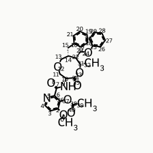 COc1ccnc(C(=O)N[C@H]2COC[C@H](Cc3ccccc3)[C@@H](COc3ccccc3)[C@H](C)OC2=O)c1OC(C)=O